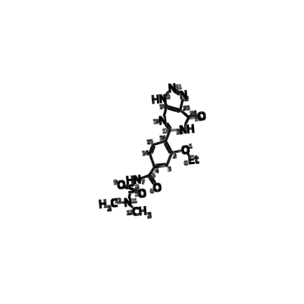 CCOc1cc(C(=O)NS(=O)(=O)N(C)C)ccc1-c1nc2[nH]nnc2c(=O)[nH]1